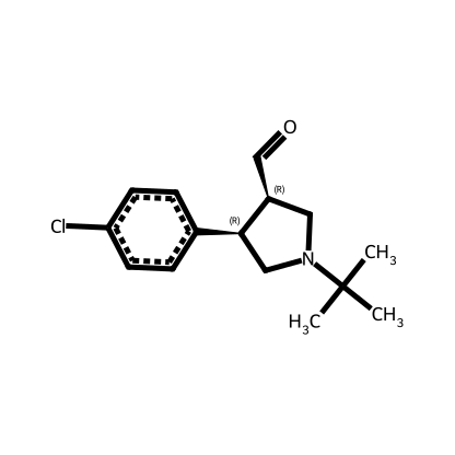 CC(C)(C)N1C[C@H](C=O)[C@H](c2ccc(Cl)cc2)C1